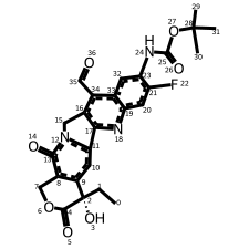 CC[C@@]1(O)C(=O)OCc2c1cc1n(c2=O)Cc2c-1nc1cc(F)c(NC(=O)OC(C)(C)C)cc1c2C=O